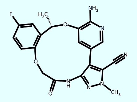 C[C@@H]1Oc2cc(cnc2N)-c2c(nn(C)c2C#N)NC(=O)COc2ccc(F)cc21